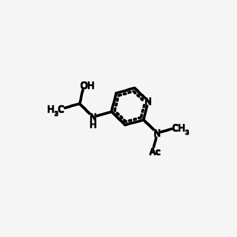 CC(=O)N(C)c1cc(NC(C)O)ccn1